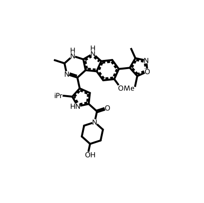 COc1cc2c3c([nH]c2cc1-c1c(C)noc1C)NC(C)N=C3c1cc(C(=O)N2CCC(O)CC2)[nH]c1C(C)C